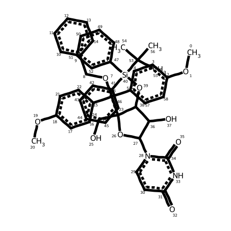 COc1ccc(C(OCc2ccccc2)(c2ccc(OC)cc2)C2(CO)OC(n3ccc(=O)[nH]c3=O)C(O)C2O[Si](c2ccccc2)(c2ccccc2)C(C)(C)C)cc1